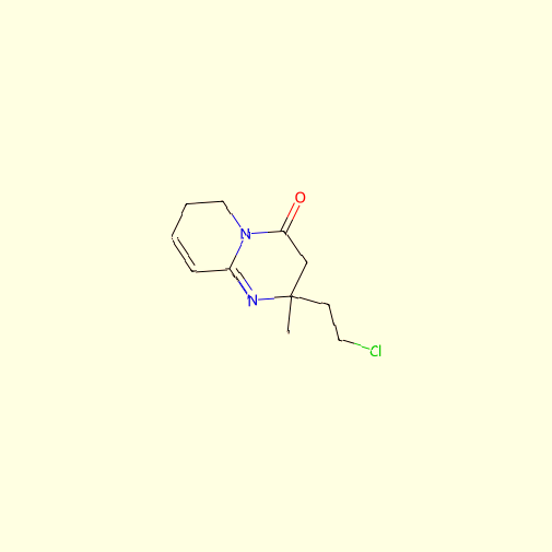 CC1(CCCl)CC(=O)N2CCC=CC2=N1